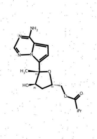 CC(C)C(=O)OC[C@@H]1C[C@@H](O)[C@](C)(c2ccc3c(N)ncnn23)O1